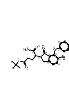 CC(C)(C)OC(=O)CCC(C(N)=O)N1Cc2ccc(Br)c(Oc3ccccc3)c2C1=O